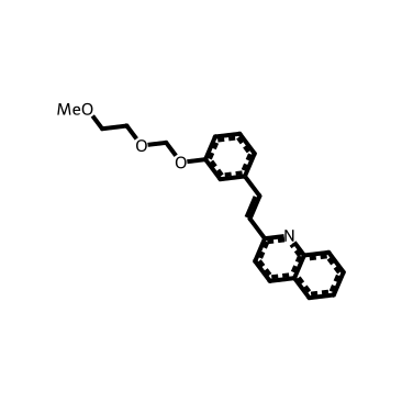 COCCOCOc1cccc(C=Cc2ccc3ccccc3n2)c1